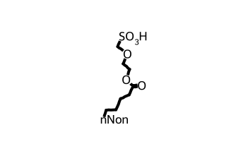 CCCCCCCCCCCCCC(=O)OCCOCS(=O)(=O)O